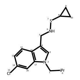 CC(C)Cn1cc(CNSC2CC2)c2ccc(Cl)cc21